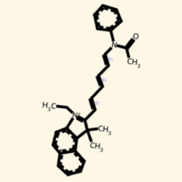 CC[N+]1=C(/C=C/C=C/C=C/N(C(C)=O)c2ccccc2)C(C)(C)c2c1ccc1ccccc21